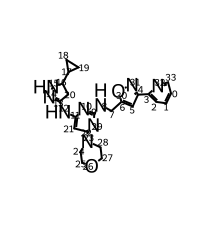 c1ccc(-c2cc(CNc3nc(NC4=NNC(C5CC5)C4)cc(N4CCOCC4)n3)on2)nc1